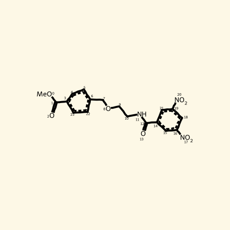 COC(=O)c1ccc(COCCNC(=O)c2cc([N+](=O)[O-])cc([N+](=O)[O-])c2)cc1